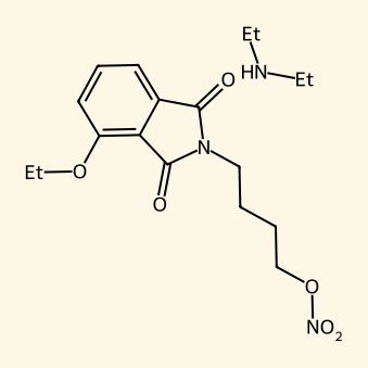 CCNCC.CCOc1cccc2c1C(=O)N(CCCCO[N+](=O)[O-])C2=O